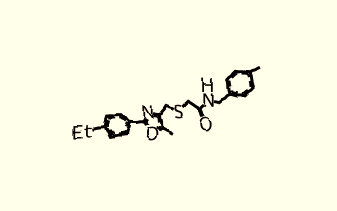 CCc1ccc(-c2nc(CSCC(=O)NCc3ccc(C)cc3)c(C)o2)cc1